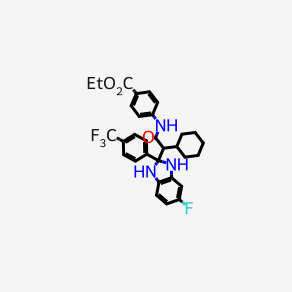 CCOC(=O)c1ccc(NC(=O)C(C2CCCCC2)C2(c3ccc(C(F)(F)F)cc3)Nc3ccc(F)cc3N2)cc1